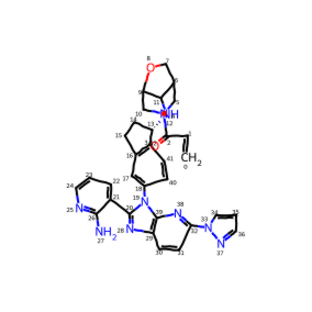 C=CC(=O)N1CC2COC(C1)C2N[C@H]1CCc2cc(-n3c(-c4cccnc4N)nc4ccc(-n5cccn5)nc43)ccc21